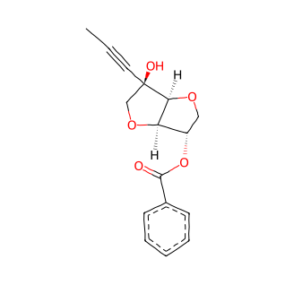 CC#C[C@@]1(O)CO[C@@H]2[C@@H](OC(=O)c3ccccc3)CO[C@@H]21